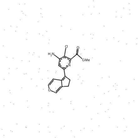 COC(=O)c1nc(C2=C3C=COC=C3CC2)cc(N)c1Cl